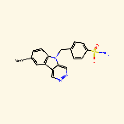 COc1ccc2c(c1)c1cnncc1n2Cc1ccc(S(N)(=O)=O)cc1